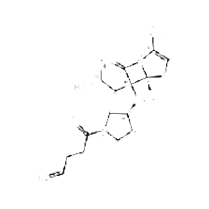 C=CCCC(=O)N1CC[C@H](S[C@]2(C[C@H](C)O)C(=O)N3C(C(=O)O)=CS[C@@H]32)C1